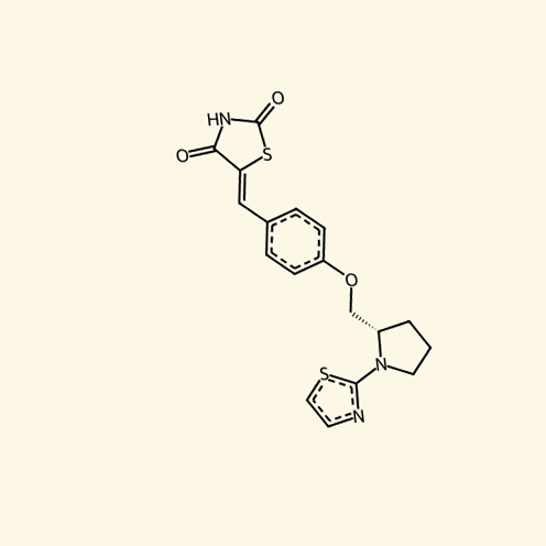 O=C1NC(=O)C(=Cc2ccc(OC[C@@H]3CCCN3c3nccs3)cc2)S1